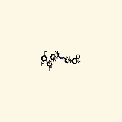 CN1CCC(n2ccc(/C=C/c3cnc4ccc(N5C[C@@H](F)C[C@@H]5c5cc(F)ccc5F)nn34)n2)CC1=O